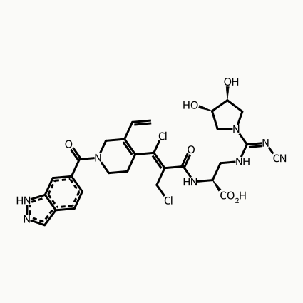 C=CC1=C(/C(Cl)=C(\CCl)C(=O)N[C@@H](CN/C(=N\C#N)N2C[C@@H](O)[C@@H](O)C2)C(=O)O)CCN(C(=O)c2ccc3cn[nH]c3c2)C1